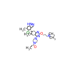 C=CC(=O)N1CCN(c2nc(OCCCN(C)C)nc3c2C[C@@H](C)[C@H](c2c(Cl)c(C)cc4[nH]ncc24)C3)CC1